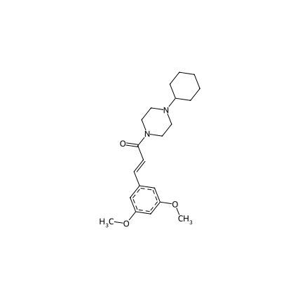 COc1cc(C=CC(=O)N2CCN(C3CCCCC3)CC2)cc(OC)c1